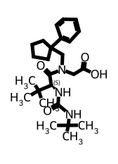 CC(C)(C)NC(=O)N[C@H](C(=O)N(CC(=O)O)CC1(c2ccccc2)CCCC1)C(C)(C)C